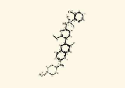 COc1nc(NS(=O)(=O)c2ccccc2Cl)ccc1-c1cc2cnc(NC3CCC(N)CC3)nc2cc1C